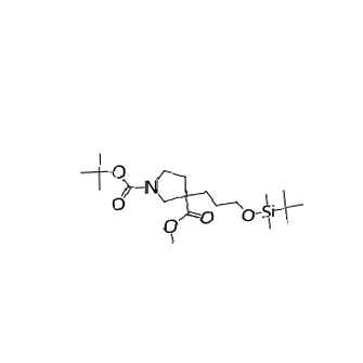 COC(=O)C1(CCCO[Si](C)(C)C(C)(C)C)CCN(C(=O)OC(C)(C)C)C1